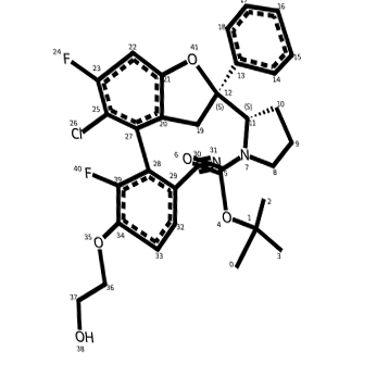 CC(C)(C)OC(=O)N1CCC[C@H]1[C@@]1(c2ccccc2)Cc2c(cc(F)c(Cl)c2-c2c(C#N)ccc(OCCO)c2F)O1